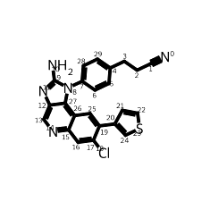 N#CCCc1ccc(-n2c(N)nc3cnc4cc(Cl)c(-c5ccsc5)cc4c32)cc1